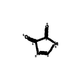 O=C1N=C[Se]C1=O